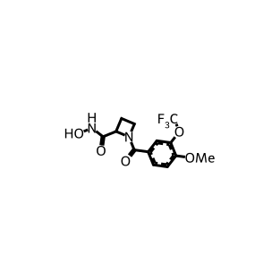 COc1ccc(C(=O)N2CCC2C(=O)NO)cc1OC(F)(F)F